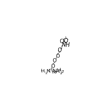 CC(C)(C)OC(=O)NCCOCCOCCOCCOCC(CN)(CN)CN